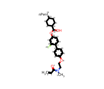 C=CC(=O)N(C)CCOc1ccc(-c2ccc(OC(O)C3CCC(CCCCC)CC3)cc2F)cc1